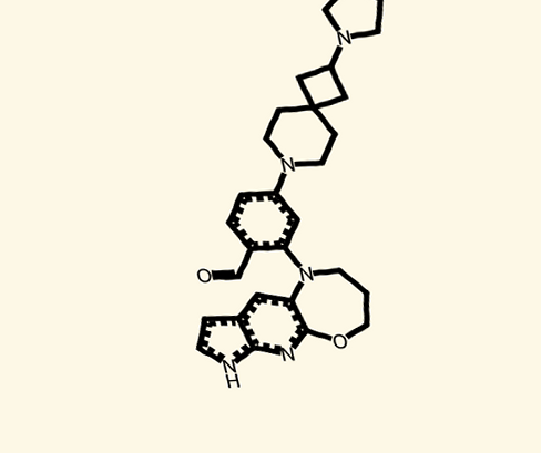 O=Cc1ccc(N2CCC3(CC2)CC(N2CCCC2)C3)cc1N1CCCOc2nc3[nH]ccc3cc21